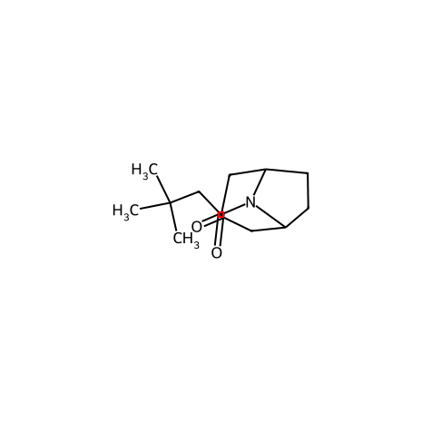 CC(C)(C)CC(=O)N1C2CCC1CC(=O)C2